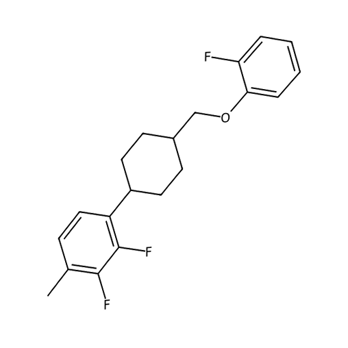 Cc1ccc(C2CCC(COc3ccccc3F)CC2)c(F)c1F